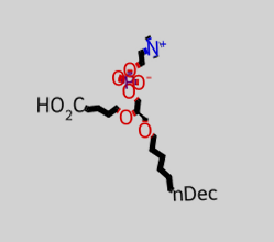 CCCCCCCCCCCCCCCCOC[C@H](COP(=O)([O-])OCC[N+](C)(C)C)OCCCCC(=O)O